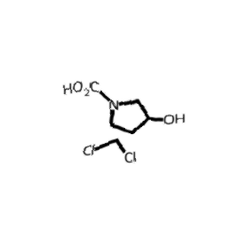 ClCCl.O=C(O)N1CCC(O)C1